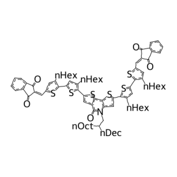 CCCCCCCCCCC(CCCCCCCC)Cn1c(=O)c2cc(-c3sc(-c4sc(C=C5C(=O)c6ccccc6C5=O)cc4CCCCCC)cc3CCCCCC)sc2c2sc(-c3sc(-c4sc(C=C5C(=O)c6ccccc6C5=O)cc4CCCCCC)cc3CCCCCC)cc21